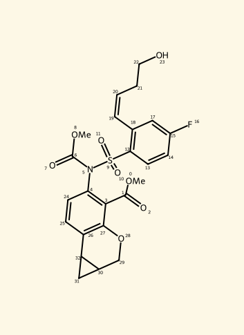 COC(=O)c1c(N(C(=O)OC)S(=O)(=O)c2ccc(F)cc2/C=C\CCO)ccc2c1OCC1CC21